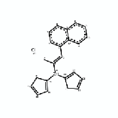 C[C](=Cc1cccc2ccccc12)[Zr+]([C]1=CC=CC1)[C]1=CC=CC1.[Cl-]